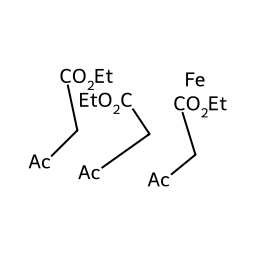 CCOC(=O)CC(C)=O.CCOC(=O)CC(C)=O.CCOC(=O)CC(C)=O.[Fe]